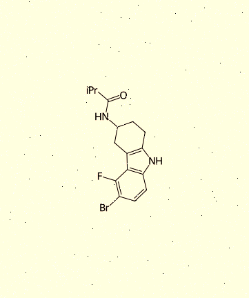 CC(C)C(=O)NC1CCc2[nH]c3ccc(Br)c(F)c3c2C1